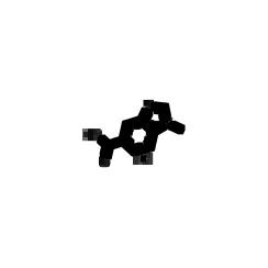 Cl.Cn1cnc2cc(C(=O)O)ccc21